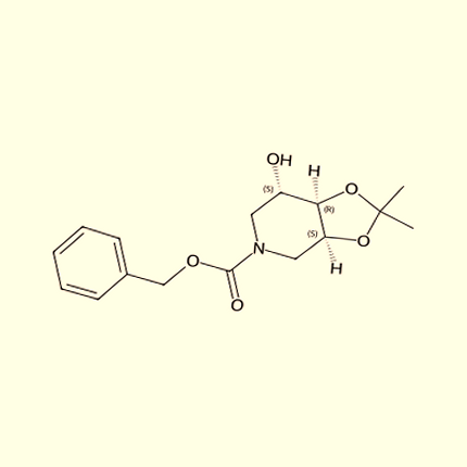 CC1(C)O[C@H]2[C@H](CN(C(=O)OCc3ccccc3)C[C@@H]2O)O1